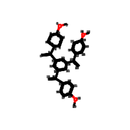 C=C(c1ccc(OC)cc1)c1cc(C(=C)c2ccc(OC)cc2)cc(C(=C)c2ccc(OC)cc2)c1